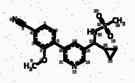 COc1cc(C#N)ccc1-c1cncc(C(NS(C)(=O)=O)C2CC2)c1